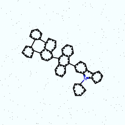 c1ccc(-n2c3ccccc3c3ccc(-c4c5ccccc5c(-c5ccc6c7c(cccc57)-c5ccccc5-c5ccccc5-6)c5ccccc45)cc32)cc1